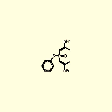 CCCC(C)=CP(=O)(C=C(C)CCC)Sc1ccccc1